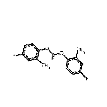 Cc1cc(F)ccc1OBOc1ccc(F)cc1C